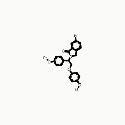 CCOc1ccc(OCC(c2ccc(OC(C)C)cc2)N2Cc3ccc(Br)cc3C2=O)cc1